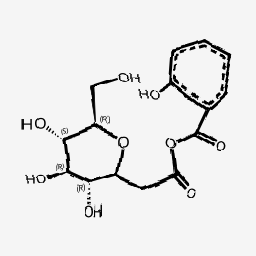 O=C(CC1O[C@H](CO)[C@@H](O)[C@H](O)[C@H]1O)OC(=O)c1ccccc1O